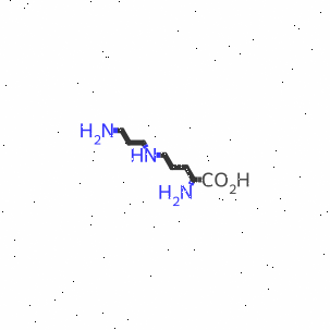 NCCCNCCCC(N)C(=O)O